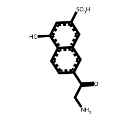 NCC(=O)c1ccc2c(O)cc(S(=O)(=O)O)cc2c1